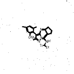 CCC(CC)Nc1c2c(nc3c(-c4c(C)cc(C)cc4OC)c(C)nn13)CCC2